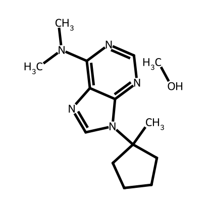 CN(C)c1ncnc2c1ncn2C1(C)CCCC1.CO